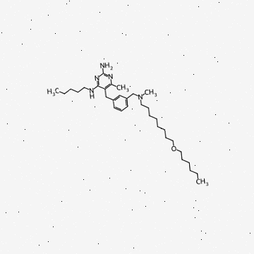 CCCCCCOCCCCCCCCN(C)Cc1cccc(Cc2c(C)nc(N)nc2NCCCCC)c1